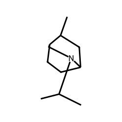 CC1CC2CCC1CN2C(C)C